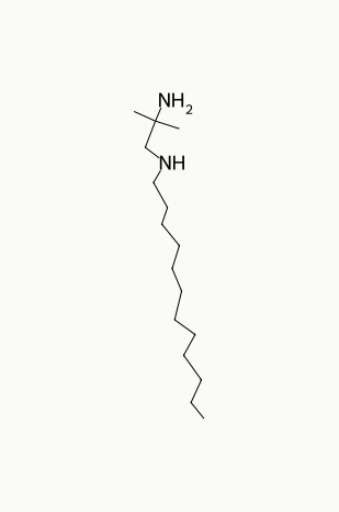 CCCCCCCCCCCCNCC(C)(C)N